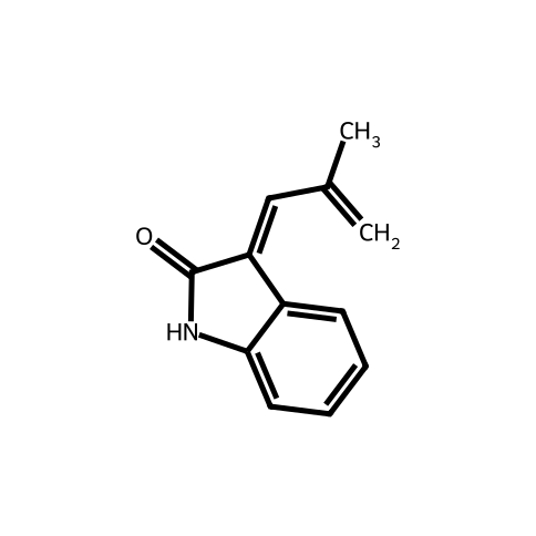 C=C(C)/C=C1/C(=O)Nc2ccccc21